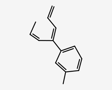 C=C/C=C(\C=C/C)c1cccc(C)c1